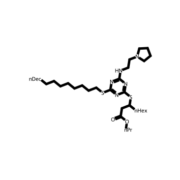 CCCCCCCCCCCCCCCCCCSc1nc(NCCN2CCCC2)nc(SC(CCCCCC)CC(=O)OCCC)n1